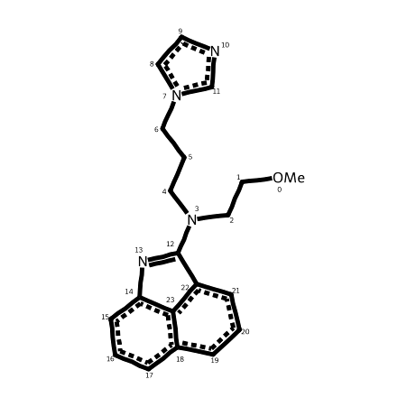 COCCN(CCCn1ccnc1)C1=Nc2cccc3cccc1c23